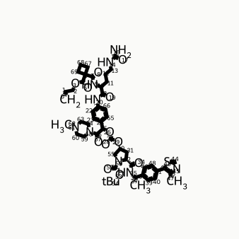 C=CCOC(=O)C1(C(=O)NC(CCCNC(N)=O)C(=O)Nc2ccc(C(OC(=O)O[C@@H]3C[C@@H](C(=O)N[C@@H](C)c4ccc(-c5scnc5C)cc4)N(C(=O)OC(C)(C)C)C3)C(=O)N3CCN(C)CC3)cc2)CCC1